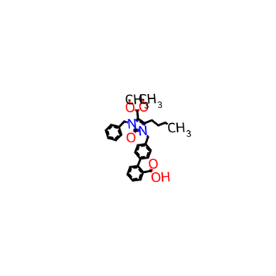 CCCCc1c(C(OC)OC)n(Cc2ccccc2)c(=O)n1Cc1ccc(-c2ccccc2C(=O)O)cc1